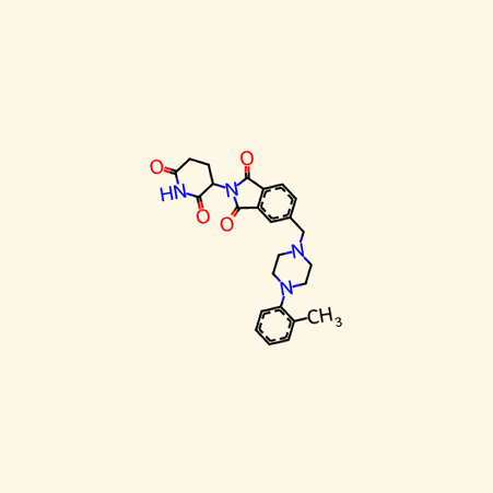 Cc1ccccc1N1CCN(Cc2ccc3c(c2)C(=O)N(C2CCC(=O)NC2=O)C3=O)CC1